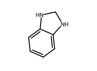 [c]1ccc2c(c1)NCN2